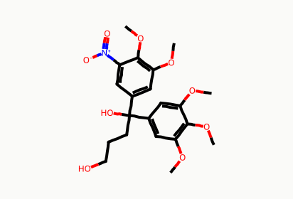 COc1cc(C(O)(CCCO)c2cc(OC)c(OC)c([N+](=O)[O-])c2)cc(OC)c1OC